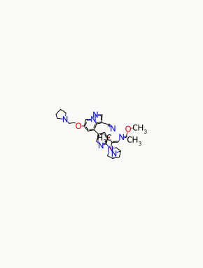 CO/C(C)=N/C=C(\C)CN1C2CC1CN(c1ccc(-c3cc(OCCN4CCCC4)cn4ncc(C#N)c34)cn1)C2